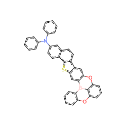 c1ccc(N(c2ccccc2)c2ccc3c(ccc4c5cc6c(cc5sc34)B3c4ccccc4Oc4cccc(c43)O6)c2)cc1